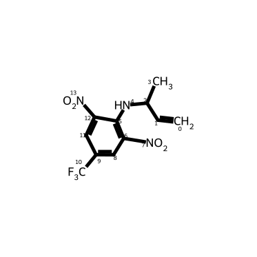 C=CC(C)Nc1c([N+](=O)[O-])cc(C(F)(F)F)cc1[N+](=O)[O-]